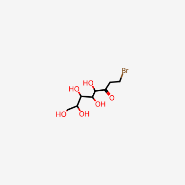 O=C(CCBr)C(O)C(O)C(O)C(O)CO